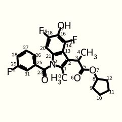 Cc1c(C(C)C(=O)OC2CCCC2)c2c(F)c(O)c(F)cc2n1C(=O)c1cccc(F)c1